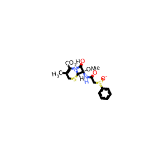 CO[C@@]1(NC(=O)C[S+]([O-])c2ccccc2)C(=O)N2C(C(=O)O)=C(C)CS[C@@H]21